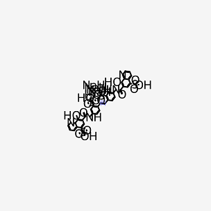 O=C(Nc1ccc(/C=C/c2ccc(NC(=O)c3cc(S(=O)(=O)O)c4cccnc4c3O)cc2S(=O)(=O)O)c(S(=O)(=O)O)c1)c1cc(S(=O)(=O)O)c2cccnc2c1O.[NaH].[NaH].[NaH].[NaH]